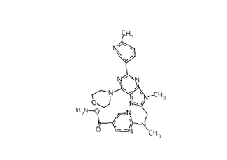 Cc1ccc(-c2nc(N3CCOCC3)c3nc(CN(C)c4ncc(C(=O)ON)cn4)n(C)c3n2)cn1